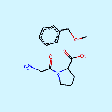 COCc1ccccc1.NCC(=O)N1CCCC1C(=O)O